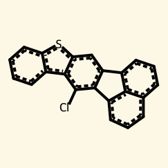 Clc1c2c(cc3sc4ccccc4c13)-c1cccc3cccc-2c13